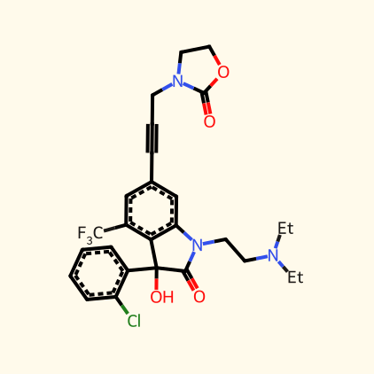 CCN(CC)CCN1C(=O)C(O)(c2ccccc2Cl)c2c1cc(C#CCN1CCOC1=O)cc2C(F)(F)F